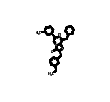 CCc1cccc(Cc2nc3c(Cc4ccccc4)[nH]c(-c4cccc(C)c4)cn-3c2=O)c1